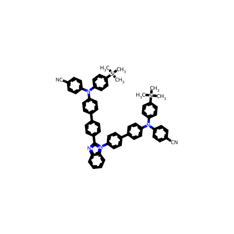 C[Si](C)(C)c1ccc(N(c2ccc(C#N)cc2)c2ccc(-c3ccc(-c4nc5ccccc5n4-c4ccc(-c5ccc(N(c6ccc(C#N)cc6)c6ccc([Si](C)(C)C)cc6)cc5)cc4)cc3)cc2)cc1